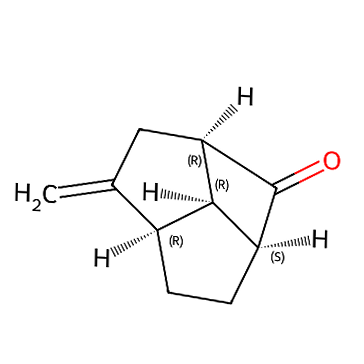 C=C1C[C@H]2C(=O)[C@H]3CC[C@@H]1[C@H]32